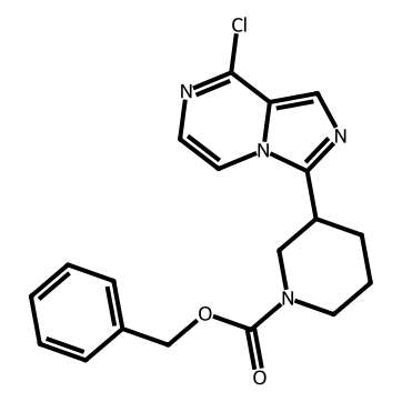 O=C(OCc1ccccc1)N1CCCC(c2ncc3c(Cl)nccn23)C1